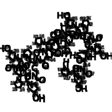 O=C(O)CNC(=O)[C@@H]1C[C@@H](O)CN1C(=O)[C@@H]1CCCN1C(=O)CNC(=O)[C@@H]1C[C@@H](O)CN1C(=O)[C@@H]1CCCN1C(=O)CNC(=O)[C@@H]1C[C@@H](O)CN1C(=O)[C@@H]1CCCN1C(=O)CNC(=O)[C@@H]1C[C@@H](O)CN1C(=O)[C@@H]1CCCN1C(=O)CNC(=O)[C@@H]1C[C@@H](O)CN1C(=O)[C@@H]1CCCN1C(=O)CNC(=O)[C@@H]1C[C@@H](O)CN1C(=O)[C@H](CS)NC(=O)CNC(=O)[C@@H]1C[C@@H](O)CN1C(=O)[C@@H]1CCCN1